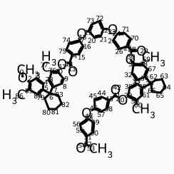 COc1ccc(C2(c3ccc(OC(=O)c4ccc(Oc5ccc(Oc6ccc(C(=O)Oc7ccc(C8(c9ccc(OC(=O)c%10ccc(Oc%11ccc(C(C)=O)cc%11)cc%10)c(C)c9)CCCCC8)cc7C)cc6)cc5)cc4)c(C)c3)CCCCC2)cc1C